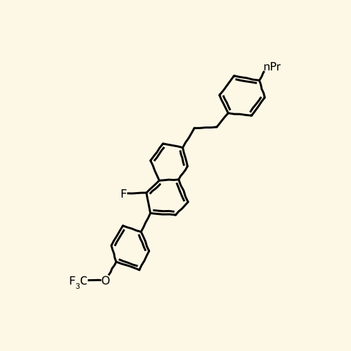 CCCc1ccc(CCc2ccc3c(F)c(-c4ccc(OC(F)(F)F)cc4)ccc3c2)cc1